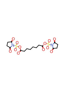 O=C(CCCCCCC(=O)OS(=O)(=O)N1C(=O)CCC1=O)OS(=O)(=O)N1C(=O)CCC1=O